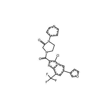 O=C(c1nc2c(C(F)(F)F)cc(-c3ccoc3)cn2c1Cl)N1CCN(c2ccncc2)C(=O)C1